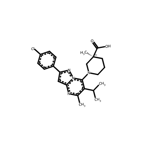 Cc1nc2cc(-c3ccc(Cl)cc3)nn2c(N2CCC[C@](C)(C(=O)O)C2)c1C(C)C